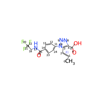 C/C=C/c1c(C(=O)O)nnn1-c1ccc(C(=O)NCC(F)(F)F)cc1